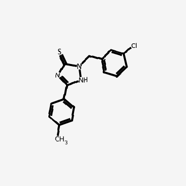 Cc1ccc(-c2nc(=S)n(Cc3cccc(Cl)c3)[nH]2)cc1